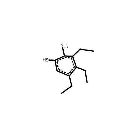 CCc1cc(S)c(N)c(CC)c1CC